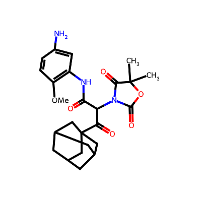 COc1ccc(N)cc1NC(=O)C(C(=O)C12CC3CC(CC(C3)C1)C2)N1C(=O)OC(C)(C)C1=O